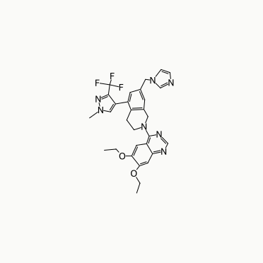 CCOc1cc2ncnc(N3CCc4c(cc(Cn5ccnc5)cc4-c4cn(C)nc4C(F)(F)F)C3)c2cc1OCC